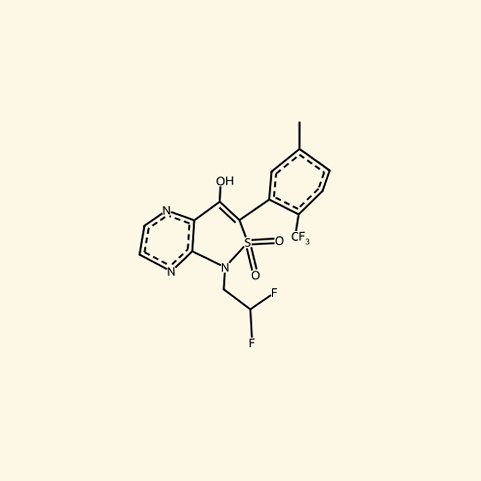 Cc1ccc(C(F)(F)F)c(C2=C(O)c3nccnc3N(CC(F)F)S2(=O)=O)c1